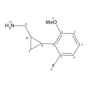 COc1cccc(F)c1C1CC1CN